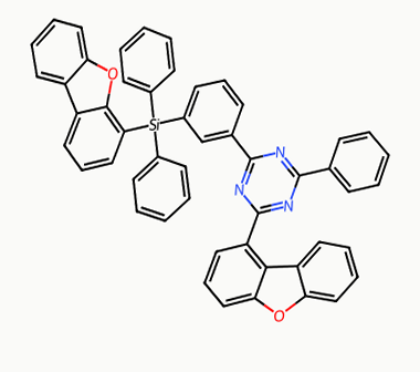 c1ccc(-c2nc(-c3cccc([Si](c4ccccc4)(c4ccccc4)c4cccc5c4oc4ccccc45)c3)nc(-c3cccc4oc5ccccc5c34)n2)cc1